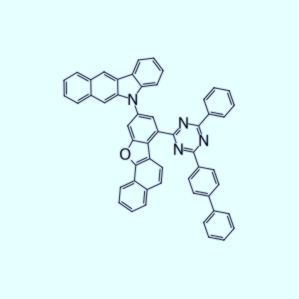 c1ccc(-c2ccc(-c3nc(-c4ccccc4)nc(-c4cc(-n5c6ccccc6c6cc7ccccc7cc65)cc5oc6c7ccccc7ccc6c45)n3)cc2)cc1